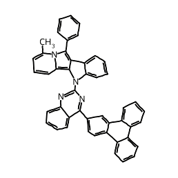 Cc1cccc2c3c(c(-c4ccccc4)n12)c1ccccc1n3-c1nc(-c2ccc3c4ccccc4c4ccccc4c3c2)c2ccccc2n1